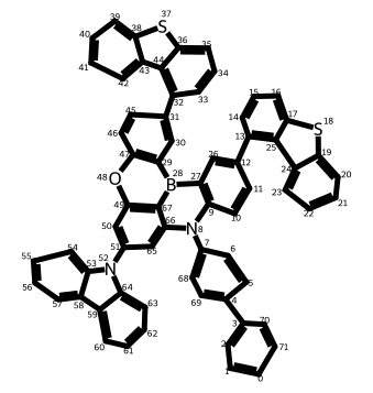 c1ccc(-c2ccc(N3c4ccc(-c5cccc6sc7ccccc7c56)cc4B4c5cc(-c6cccc7sc8ccccc8c67)ccc5Oc5cc(-n6c7ccccc7c7ccccc76)cc3c54)cc2)cc1